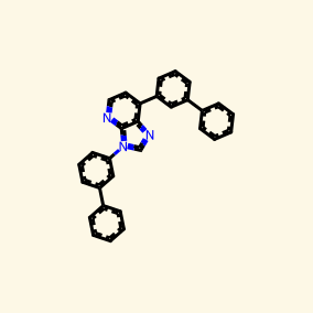 c1ccc(-c2cccc(-c3ccnc4c3ncn4-c3cccc(-c4ccccc4)c3)c2)cc1